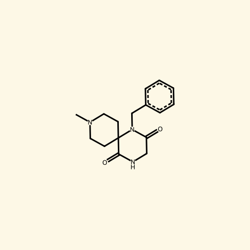 CN1CCC2(CC1)C(=O)NCC(=O)N2Cc1ccccc1